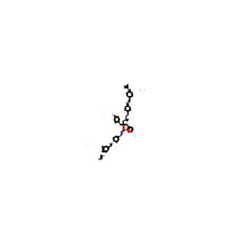 COc1cc(C(=O)Oc2ccc(/C=C/C(=O)CC(Cc3ccc(N)cc3)(Cc3ccc(N)cc3)C(O)(O)C(=O)/C=C/c3ccc(OC(=O)c4ccc(OC(F)(F)C(F)F)c(OC)c4)cc3)cc2)ccc1OC(F)(F)C(F)F